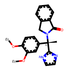 CCOc1ccc([C@@](C)(c2ncc[nH]2)N2Cc3ccccc3C2=O)cc1OCC